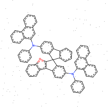 c1ccc(N(c2ccc3c(c2)C2(c4ccccc4-3)c3cc(N(c4ccccc4)c4cc5ccccc5c5ccccc45)ccc3-c3c2oc2ccccc32)c2cc3ccccc3c3ccccc23)cc1